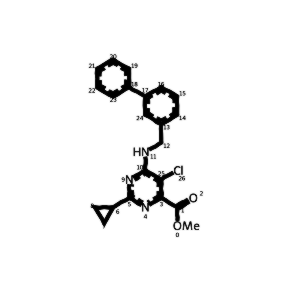 COC(=O)c1nc(C2CC2)nc(NCc2cccc(-c3ccccc3)c2)c1Cl